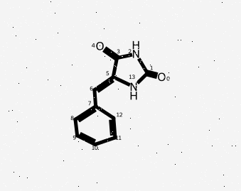 O=C1NC(=O)C(=Cc2ccccc2)N1